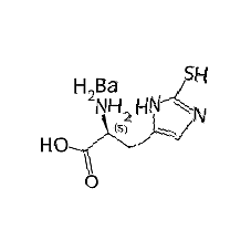 N[C@@H](Cc1cnc(S)[nH]1)C(=O)O.[BaH2]